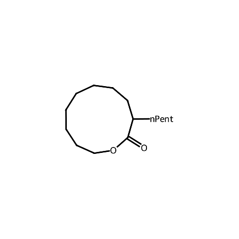 CCCCCC1CCCCCCCCOC1=O